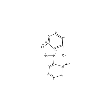 O=P(S)(c1ccccc1Cl)c1ccccc1Cl